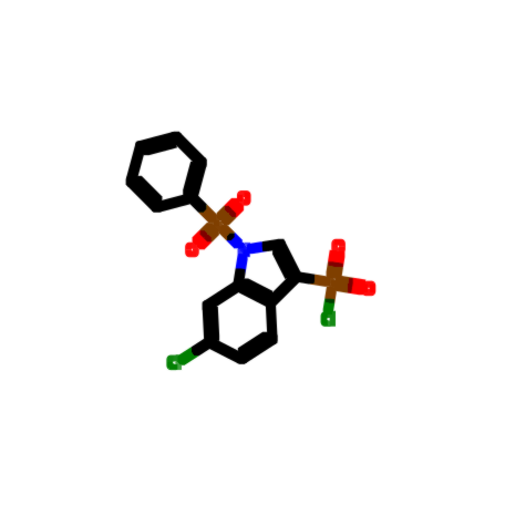 O=S(=O)(Cl)c1cn(S(=O)(=O)c2ccccc2)c2cc(Cl)ccc12